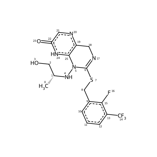 C[C@H](CO)NN1C(SCc2cccc(C(F)(F)F)c2F)=NCc2ncc(=O)[nH]c21